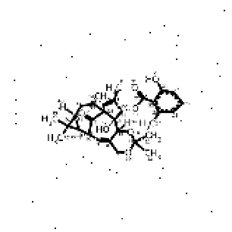 CC1=C[C@]23C(=O)[C@@H](C=C4COC(C)(C)O[C@H]4[C@]2(O)[C@H]1OC(=O)c1c(C)cccc1O)C1[C@@H](C[C@H]3C)C1(C)C